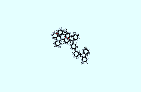 c1cc(-c2ccc(N(c3ccc(-c4cc5ccccc5c5ccccc45)cc3)c3ccccc3-c3ccc4c(c3)oc3ccccc34)cc2)cc(-n2c3ccccc3c3ccccc32)c1